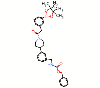 CC1(C)OB(c2cccc(CC(=O)N3CCC(c4cccc(CNC(=O)OCc5ccccc5)c4)CC3)c2)OC1(C)C